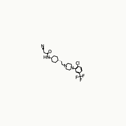 N#CCC(=O)N[C@H]1CC[C@H](CCN2CCN(c3cc(C(F)(F)F)ccc3Cl)CC2)CC1